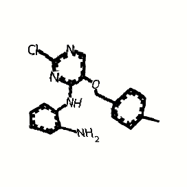 Cc1ccc(COc2cnc(Cl)nc2Nc2ccccc2N)cc1